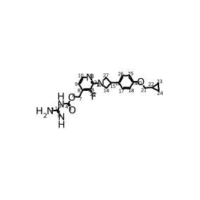 N=C(N)NC(=O)OCc1ccnc(N2CC(c3ccc(OCC4CC4)cc3)C2)c1F